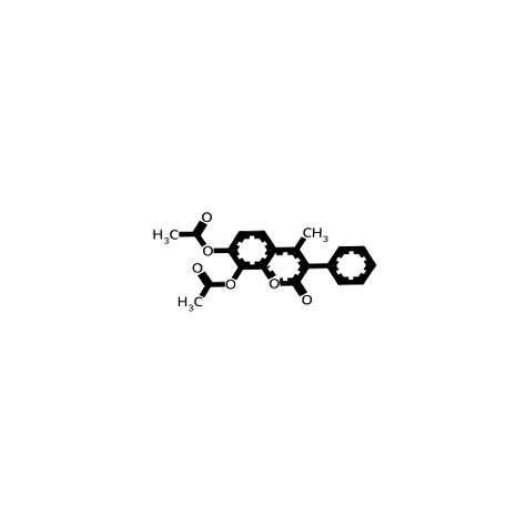 CC(=O)Oc1ccc2c(C)c(-c3ccccc3)c(=O)oc2c1OC(C)=O